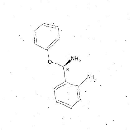 Nc1ccccc1[C@H](N)Oc1ccccc1